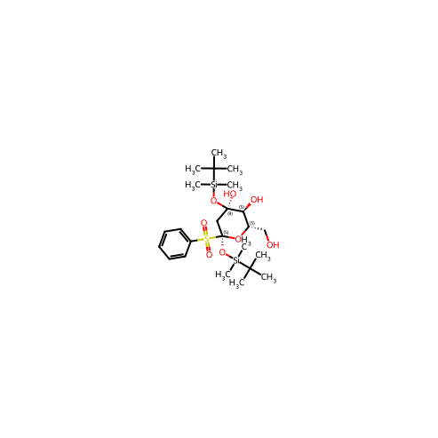 CC(C)(C)[Si](C)(C)O[C@]1(S(=O)(=O)c2ccccc2)C[C@@](O)(O[Si](C)(C)C(C)(C)C)[C@@H](O)[C@H](CO)O1